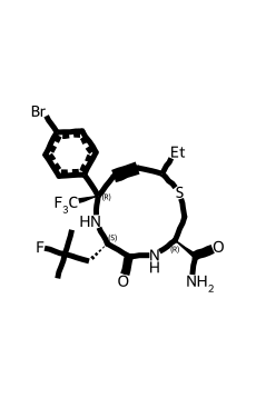 CCC1C#C[C@](c2ccc(Br)cc2)(C(F)(F)F)N[C@@H](CC(C)(C)F)C(=O)N[C@H](C(N)=O)CS1